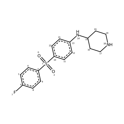 O=S(=O)(c1ccc(F)cc1)c1ccc(NC2CCNCC2)cc1